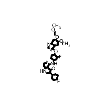 COCCOc1cc2ncnc(Oc3ccc(Nc4nccc5[nH]cc(-c6ccc(F)cc6)c(=O)c45)cc3F)c2cc1OC